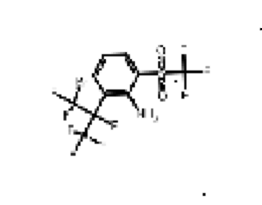 Nc1c(C(F)(C(F)(F)F)C(F)(F)Br)cccc1S(=O)(=O)C(F)(F)F